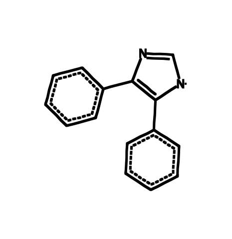 C1=NC(c2ccccc2)=C(c2ccccc2)[N]1